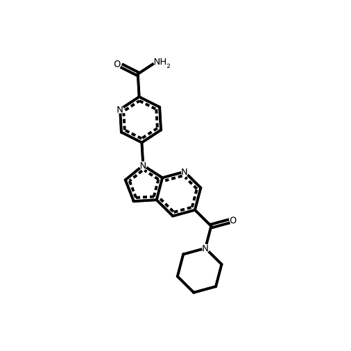 NC(=O)c1ccc(-n2ccc3cc(C(=O)N4CCCCC4)cnc32)cn1